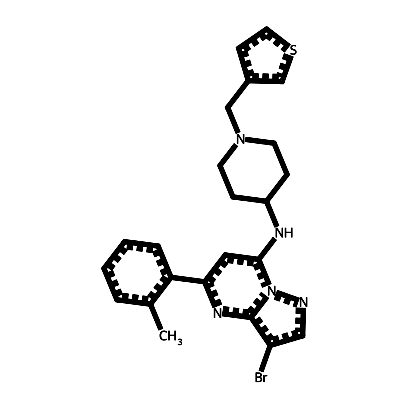 Cc1ccccc1-c1cc(NC2CCN(Cc3ccsc3)CC2)n2ncc(Br)c2n1